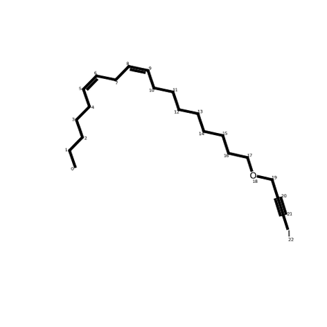 CCCCC/C=C\C/C=C\CCCCCCCCOCC#CI